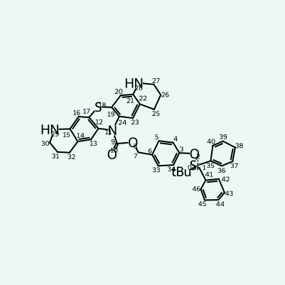 CC(C)(C)[Si](Oc1ccc(COC(=O)N2c3cc4c(cc3Sc3cc5c(cc32)CCCN5)NCCC4)cc1)(c1ccccc1)c1ccccc1